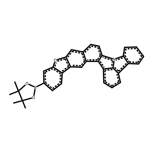 CC1(C)OB(c2ccc3c(c2)oc2cc4ccc5c(c4cc23)c2cccc3c4ccccc4n5c32)OC1(C)C